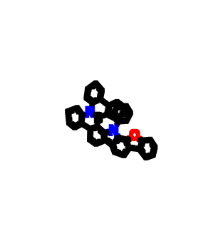 c1ccc(-n2c3c4c(ccc3c3ccc5c6ccccc6oc5c32)-c2ccccc2N2B4c3ccccc3-c3ccccc32)cc1